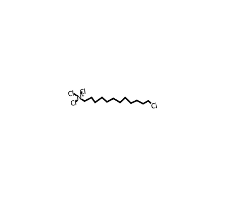 ClCCCCCCCCCCCC[N+](Cl)(Cl)Cl